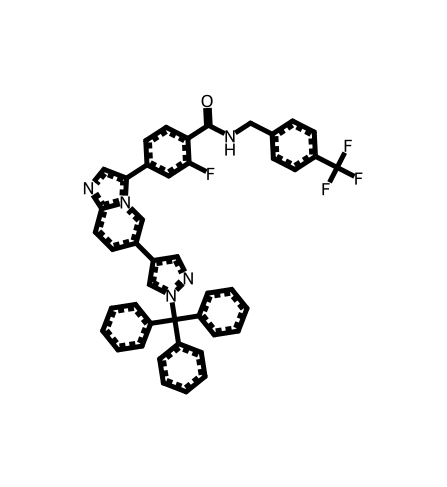 O=C(NCc1ccc(C(F)(F)F)cc1)c1ccc(-c2cnc3ccc(-c4cnn(C(c5ccccc5)(c5ccccc5)c5ccccc5)c4)cn23)cc1F